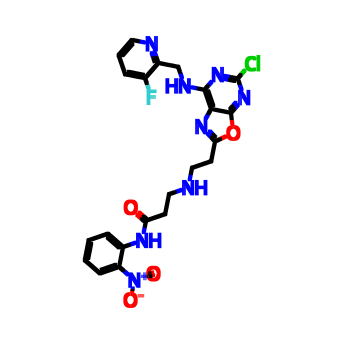 O=C(CCNCCc1nc2c(NCc3ncccc3F)nc(Cl)nc2o1)Nc1ccccc1[N+](=O)[O-]